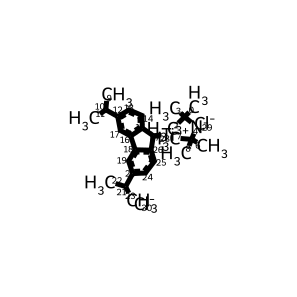 CC(C)(C)[N-]C(C)(C)C.CC(C)c1ccc2c(c1)-c1cc(C(C)C)ccc1[CH]2[Ti+3].[Cl-].[Cl-]